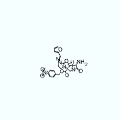 N[C@@H]1C(=O)N2C[C@@](C(=O)OCc3ccc([N+](=O)[O-])cc3)(N3CCN(N=Cc4ccco4)C3=O)S[C@H]12